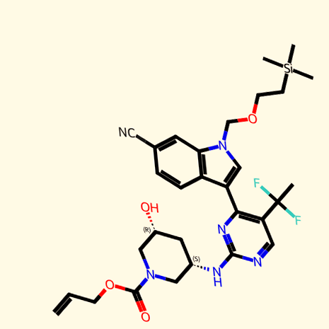 C=CCOC(=O)N1C[C@H](O)C[C@H](Nc2ncc(C(C)(F)F)c(-c3cn(COCC[Si](C)(C)C)c4cc(C#N)ccc34)n2)C1